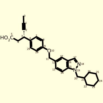 CC#C[C@@H](CC(=O)O)c1ccc(OCc2ccc3c(cnn3CC3CCCCC3)c2)cc1